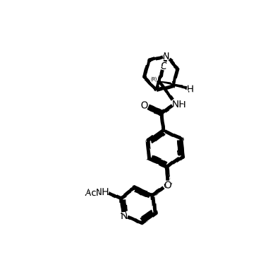 CC(=O)Nc1cc(Oc2ccc(C(=O)N[C@H]3CN4CCC3CC4)cc2)ccn1